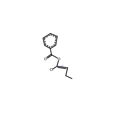 CC/C=C(\Cl)OC(=O)c1ccccc1